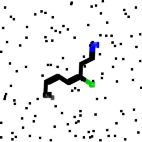 C/C=C\C=C(\Cl)CC=N